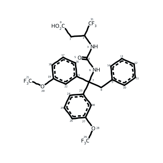 O=C(O)CC(NC(=O)NC(Cc1ccccc1)(c1cccc(OC(F)(F)F)c1)c1cccc(OC(F)(F)F)c1)C(F)(F)F